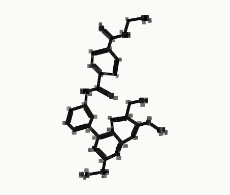 CCNC(=O)c1ccc(C(=O)Nc2cccc(-c3nc(NC)nc4cc(OC)c(CO)cc34)c2)cc1